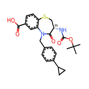 CC(C)(C)OC(=O)N[C@H]1CSc2ccc(C(=O)O)cc2N(Cc2ccc(C3CC3)cc2)C1=O